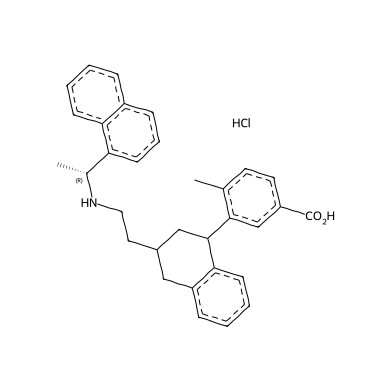 Cc1ccc(C(=O)O)cc1C1CC(CCN[C@H](C)c2cccc3ccccc23)Cc2ccccc21.Cl